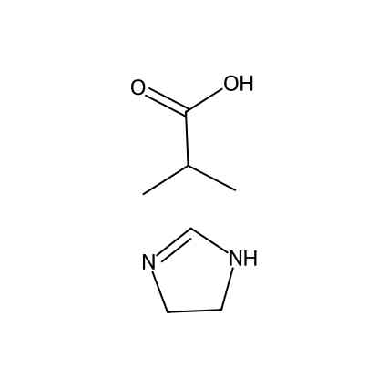 C1=NCCN1.CC(C)C(=O)O